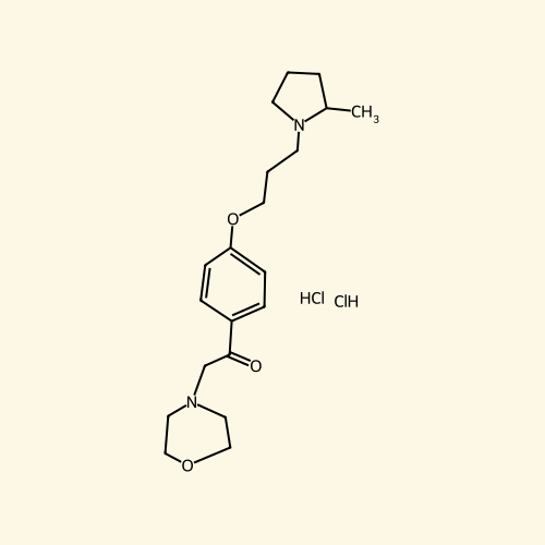 CC1CCCN1CCCOc1ccc(C(=O)CN2CCOCC2)cc1.Cl.Cl